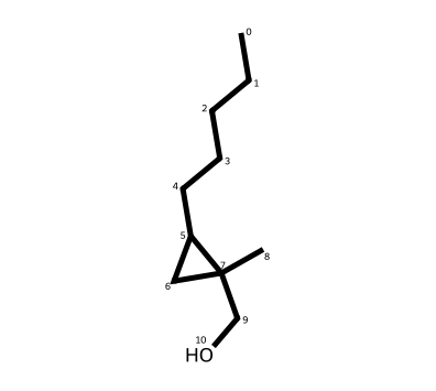 CCCCCC1CC1(C)CO